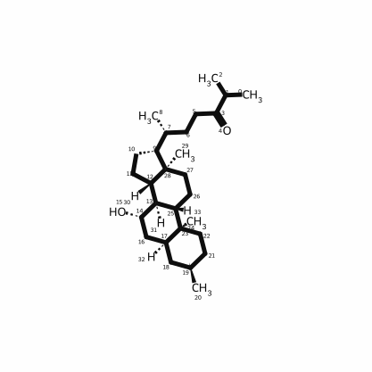 CC(C)C(=O)CC[C@@H](C)[C@H]1CC[C@H]2[C@@H]3[C@@H](O)C[C@@H]4C[C@H](C)CC[C@]4(C)[C@H]3CC[C@]12C